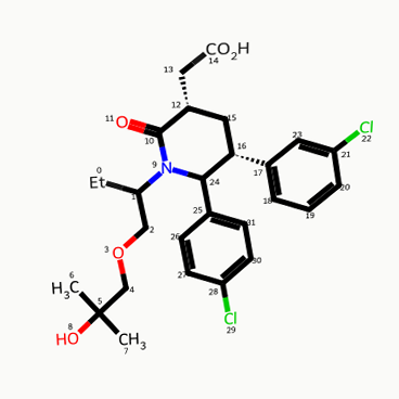 CCC(COCC(C)(C)O)N1C(=O)[C@H](CC(=O)O)C[C@H](c2cccc(Cl)c2)C1c1ccc(Cl)cc1